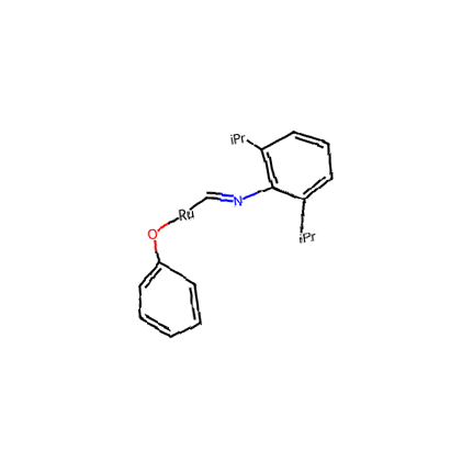 CC(C)c1cccc(C(C)C)c1N=[CH][Ru][O]c1ccccc1